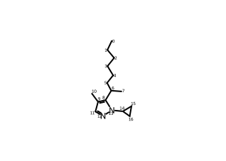 CCCCCCC(C)c1c(C)cnn1C1CC1